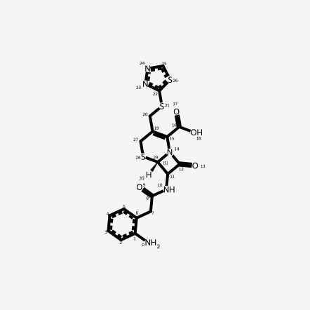 Nc1ccccc1CC(=O)NC1C(=O)N2C(C(=O)O)=C(CSc3nncs3)CS[C@@H]12